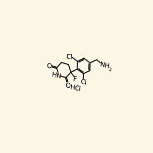 Cl.NCc1cc(Cl)c(C2(F)CCC(=O)NC2=O)c(Cl)c1